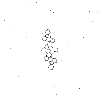 C=C(/C=C(\c1ccc2c(C(C)C)cc(N(c3ccccn3)c3cccc4c3oc3ccccc34)c3c2c1CC=C3)N(c1ccccn1)c1cccc2c1oc1ccccc12)C(C)C